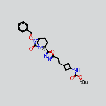 CC(C)(C)OC(=O)N[C@H]1C[C@@H](CCc2nnc([C@@H]3CCC4CN3C(=O)N4OCc3ccccc3)o2)C1